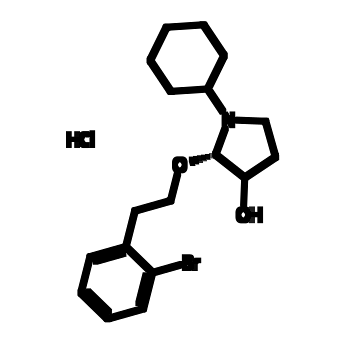 Cl.OC1CCN(C2CCCCC2)[C@H]1OCCc1ccccc1Br